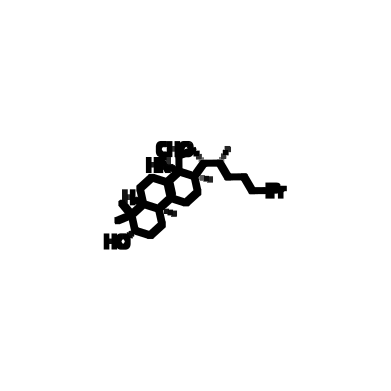 CC(C)CCC[C@@H](C)[C@H]1CC[C@@]2(NC=O)C3=C(CC[C@]12C)[C@@]1(C)CC[C@H](O)C(C)(C)[C@@H]1CC3